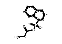 NCC(=O)OS(=O)(=O)c1cccc2ccccc12